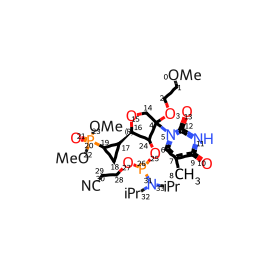 COCCOC1(n2cc(C)c(=O)[nH]c2=O)CO[C@H](C2CC2P(=O)(OC)OC)C1OP(OCCC#N)N(C(C)C)C(C)C